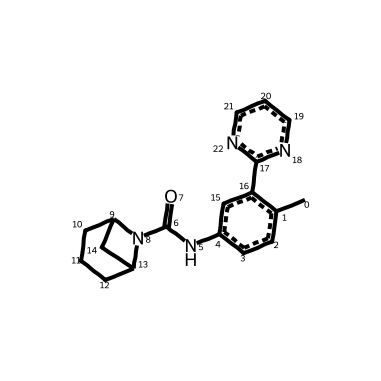 Cc1ccc(NC(=O)N2C3CCCC2C3)cc1-c1ncccn1